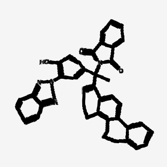 CC(C1=CCCc2c1ccc1c2CCc2ccccc2-1)(c1ccc(O)c(-n2nc3ccccc3n2)c1)N1C(=O)c2ccccc2C1=O